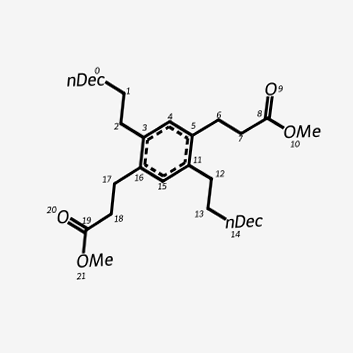 CCCCCCCCCCCCc1cc(CCC(=O)OC)c(CCCCCCCCCCCC)cc1CCC(=O)OC